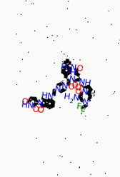 CC(C)(C)c1ccc(C[C@H](NC(=O)[C@H](CCC(N)=O)NC(=O)[C@@H]2CC[C@@H]3CCN(CC(F)F)C[C@H](N)C(=O)N32)C(=O)N2CCN(CCNc3cccc4c3CN(C3CCC(=O)NC3=O)C4=O)CC2)cc1